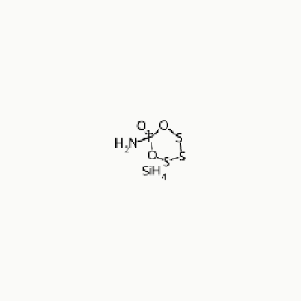 NP1(=O)OSSSO1.[SiH4]